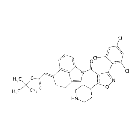 CC(C)(C)OC(=O)/C=C1\CCc2cn(C(=O)c3c(-c4c(Cl)cc(Cl)cc4Cl)noc3C3CCNCC3)c3cccc1c23